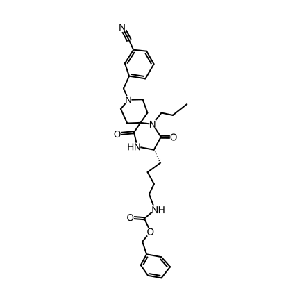 CCCN1C(=O)[C@H](CCCCNC(=O)OCc2ccccc2)NC(=O)C12CCN(Cc1cccc(C#N)c1)CC2